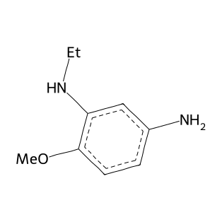 CCNc1cc(N)ccc1OC